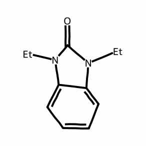 CCn1c(=O)n(CC)c2ccccc21